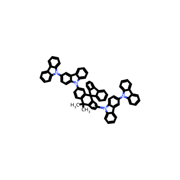 CC1(C)c2ccc(-n3c4ccccc4c4cc(-n5c6ccccc6c6ccccc65)ccc43)cc2C2(c3ccccc3-c3ccccc32)c2cc(-n3c4ccccc4c4cc(-n5c6ccccc6c6ccccc65)ccc43)ccc21